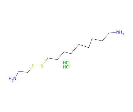 Cl.Cl.NCCCCCCCCCSSCCN